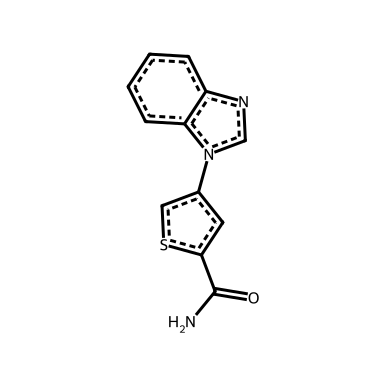 NC(=O)c1cc(-n2cnc3ccccc32)cs1